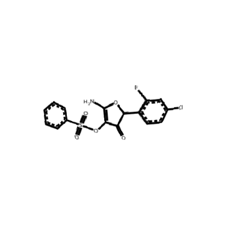 NC1=C(OS(=O)(=O)c2ccccc2)C(=O)C(c2ccc(Cl)cc2F)O1